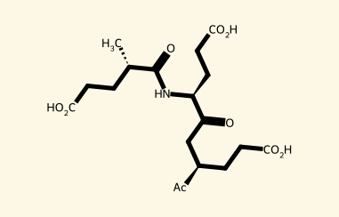 CC(=O)[C@H](CCC(=O)O)CC(=O)[C@H](CCC(=O)O)NC(=O)[C@@H](C)CCC(=O)O